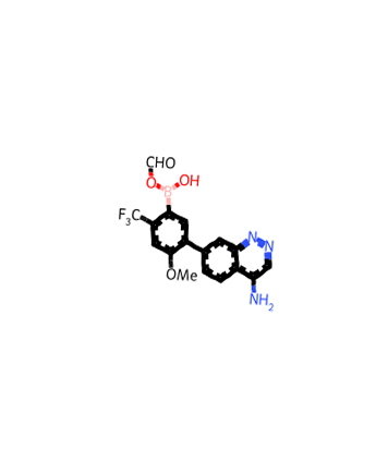 COc1cc(C(F)(F)F)c(B(O)OC=O)cc1-c1ccc2c(N)cnnc2c1